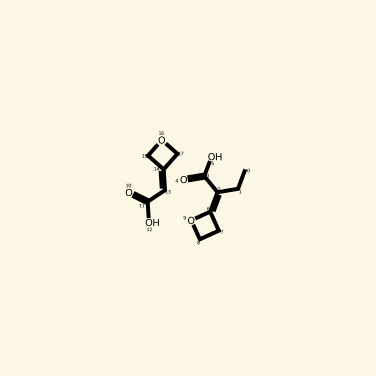 CCC(C(=O)O)=C1CCO1.O=C(O)C=C1COC1